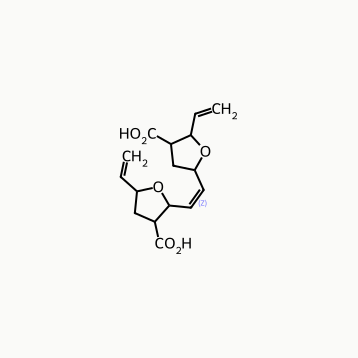 C=CC1CC(C(=O)O)C(/C=C\C2CC(C(=O)O)C(C=C)O2)O1